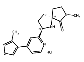 Cc1cscc1-c1ccnc([C@H]2CC[C@@]3(CCN(C)C3=O)N2)c1.Cl